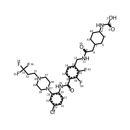 O=C(O)NC1CCC(CC(=O)NCc2ccc(C(=O)Nc3ccc(Cl)cc3N3CCN(CCC(F)(F)F)CC3)c(F)c2F)CC1